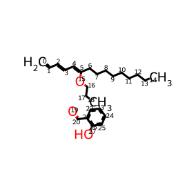 C=C/C=C/C=C(/CCCCCCCCC)OCCC.O=Cc1ccccc1O